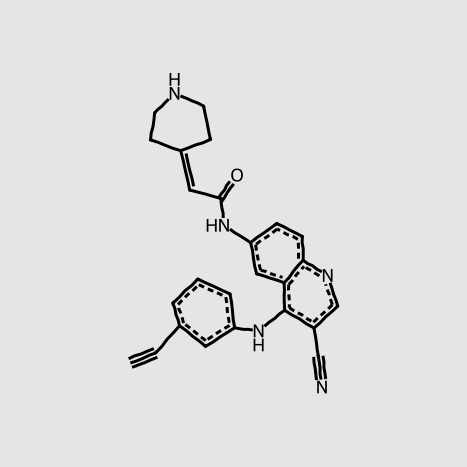 C#Cc1cccc(Nc2c(C#N)cnc3ccc(NC(=O)C=C4CCNCC4)cc23)c1